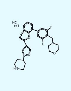 Cl.Cl.Fc1cc(-c2cccc3ncc(-c4cnn(C5CCNCC5)c4)nc23)cc(F)c1CN1CCOCC1